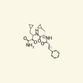 NC(=O)C(=O)C(CC1CC1)NC(=O)[C@H](CC1CC1)NC(=O)/C=C/c1ccccc1